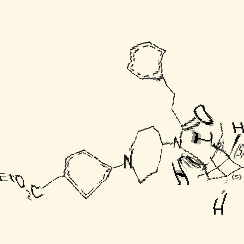 CCOC(=O)c1ccc(N2CCC(N(C(=O)CCc3ccccc3)[C@H]3C[C@@H]4C[C@@H]([C@H]3C)C4(C)C)CC2)cc1